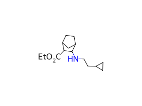 CCOC(=O)C1C2CCC(C2)C1NCCC1CC1